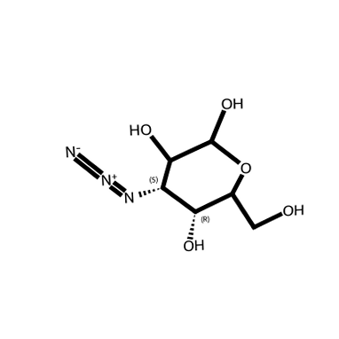 [N-]=[N+]=N[C@@H]1C(O)C(O)OC(CO)[C@@H]1O